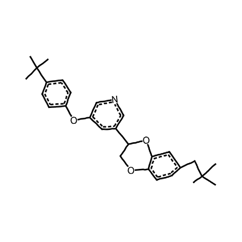 CC(C)(C)Cc1ccc2c(c1)OC(c1cncc(Oc3ccc(C(C)(C)C)cc3)c1)CO2